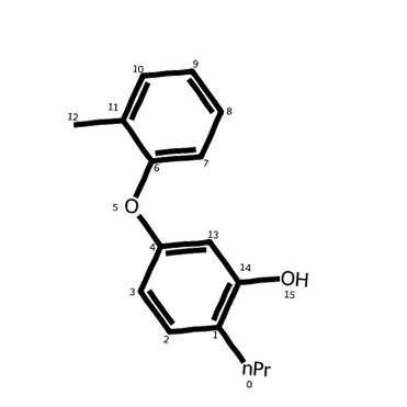 CCCc1ccc(Oc2ccccc2C)cc1O